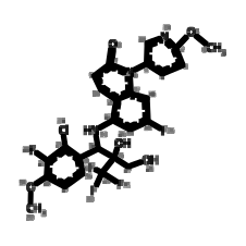 COc1ccc(-n2c(=O)ccc3c(NC(c4ccc(OC)c(F)c4Cl)C(O)(CO)C(F)(F)F)cc(F)cc32)cn1